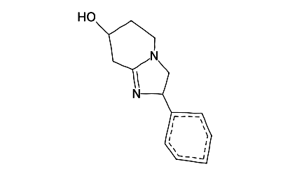 OC1CCN2CC(c3ccccc3)N=C2C1